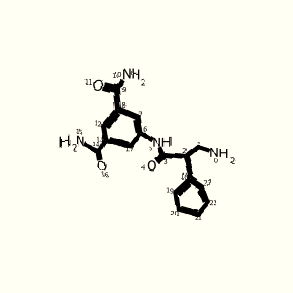 NCC(C(=O)Nc1cc(C(N)=O)cc(C(N)=O)c1)c1ccccc1